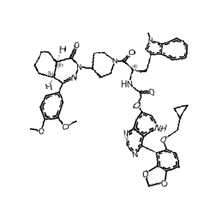 COc1ccc(C2=NN(C3CCN(C(=O)[C@@H](Cc4cn(C)c5ccccc45)NC(=O)Oc4c[nH]c5c(-c6c(OCC7CC7)ccc7c6OCO7)ncnc45)CC3)C(=O)[C@@H]3CCCC[C@H]23)cc1OC